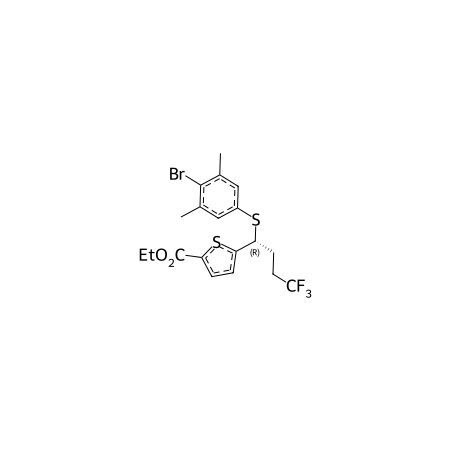 CCOC(=O)c1ccc([C@@H](CCC(F)(F)F)Sc2cc(C)c(Br)c(C)c2)s1